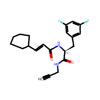 C#CCNC(=O)[C@H](Cc1cc(F)cc(F)c1)NC(=O)/C=C/C1CCCCC1